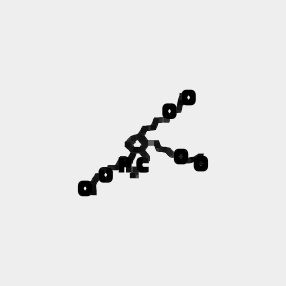 C=Cc1c(CCCCOCC2CO2)ccc(CCCCOCC2CO2)c1CCCCOCC1CO1